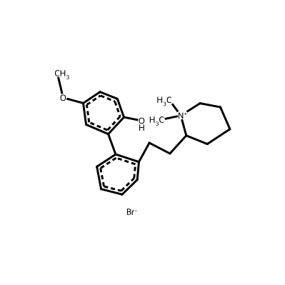 COc1ccc(O)c(-c2ccccc2CCC2CCCC[N+]2(C)C)c1.[Br-]